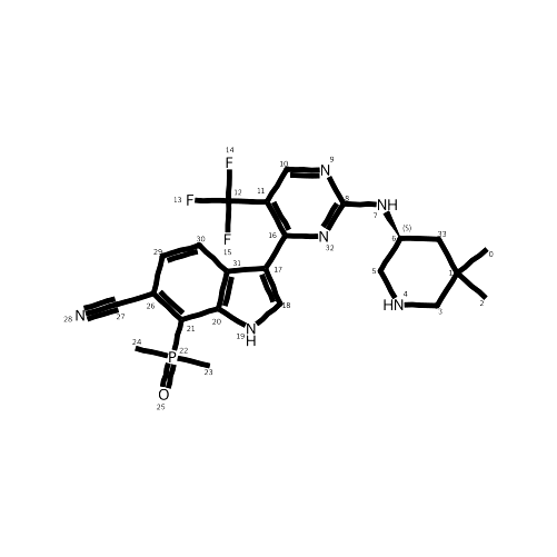 CC1(C)CNC[C@@H](Nc2ncc(C(F)(F)F)c(-c3c[nH]c4c(P(C)(C)=O)c(C#N)ccc34)n2)C1